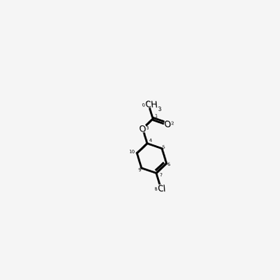 CC(=O)OC1CC=C(Cl)CC1